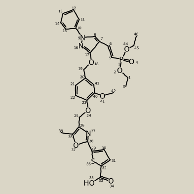 CCOP(=O)(C=Cc1cn(-c2ccccc2)nc1OCc1ccc(OCc2nc(-c3ccc(C(=O)O)s3)oc2C)c(OC)c1)OCC